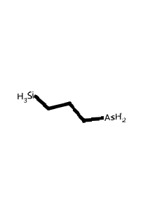 [SiH3]CCC[AsH2]